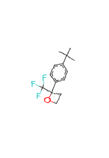 CC(C)(C)c1ccc(C2(C(F)(F)F)CCO2)cc1